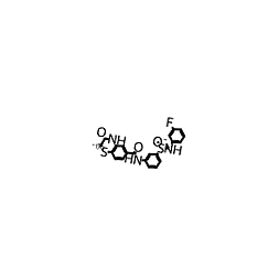 C[C@H]1Sc2ccc(C(=O)Nc3cccc([S+]([O-])Nc4cccc(F)c4)c3)cc2NC1=O